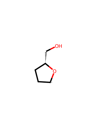 OC[C@H]1CC[CH]O1